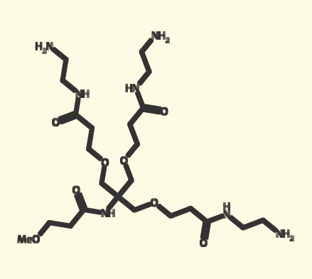 COCCC(=O)NC(COCCC(=O)NCCN)(COCCC(=O)NCCN)COCCC(=O)NCCN